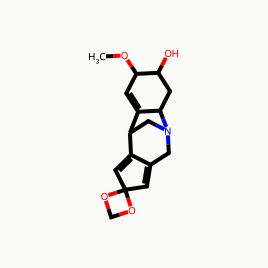 COC1C=C2C3CN(CC4=CC5(C=C43)OCO5)C2CC1O